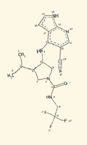 CC(C)C1CN(C(=O)NCC(F)(F)F)CC1Nc1c(C#N)cnc2[nH]ccc12